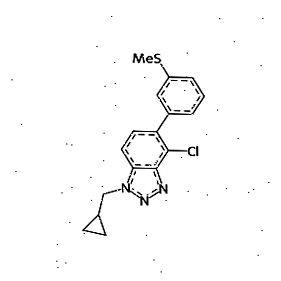 CSc1cccc(-c2ccc3c(nnn3CC3CC3)c2Cl)c1